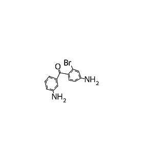 Nc1cccc(C(=O)c2ccc(N)cc2Br)c1